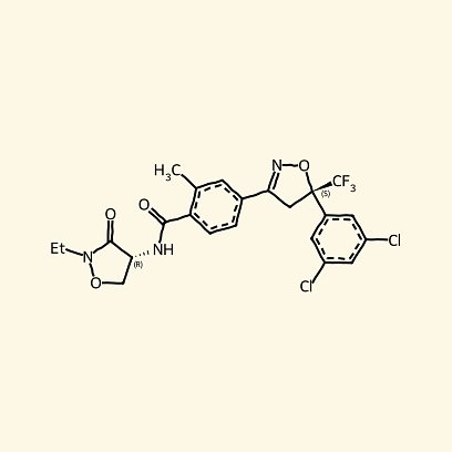 CCN1OC[C@@H](NC(=O)c2ccc(C3=NO[C@@](c4cc(Cl)cc(Cl)c4)(C(F)(F)F)C3)cc2C)C1=O